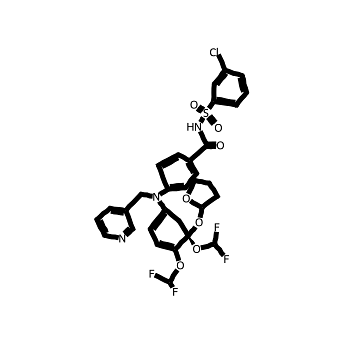 O=C(NS(=O)(=O)c1cccc(Cl)c1)c1ccc(N(Cc2cccnc2)C2=CC=C(OC(F)F)[C@@](OC(F)F)(OC3CCCO3)C2)cc1